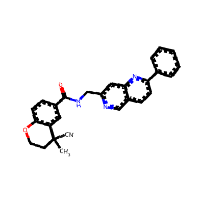 CC1(C#N)CCOc2ccc(C(=O)NCc3cc4nc(-c5ccccc5)ccc4cn3)cc21